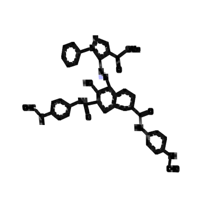 COC(=O)c1cnn(-c2ccccc2)c1/N=N/c1c(O)c(C(=O)Nc2ccc(NC=O)cc2)cc2cc(C(=O)Nc3ccc(NC=O)cc3)ccc12